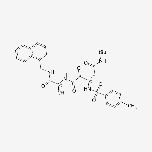 Cc1ccc(S(=O)(=O)N[C@@H](CC(=O)NC(C)(C)C)C(=O)C(=O)N[C@@H](C)C(=O)NCc2cccc3ccccc23)cc1